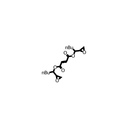 CCCCC(OC(=O)/C=C/C(=O)OC(CCCC)C1CO1)C1CO1